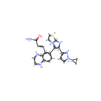 NC(=O)/C=C/c1c(-c2c(-c3ccn(C4CC4)n3)nc3sccn23)ccc2nccnc12